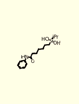 CC(C)[Si](O)(O)CCCCCCC(=O)Nc1ccccc1